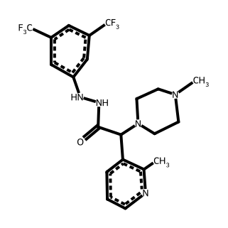 Cc1ncccc1C(C(=O)NNc1cc(C(F)(F)F)cc(C(F)(F)F)c1)N1CCN(C)CC1